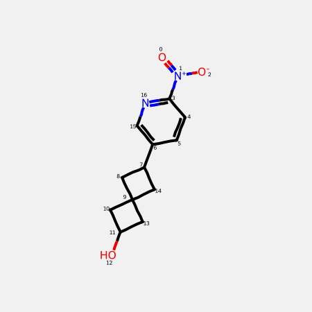 O=[N+]([O-])c1ccc(C2CC3(CC(O)C3)C2)cn1